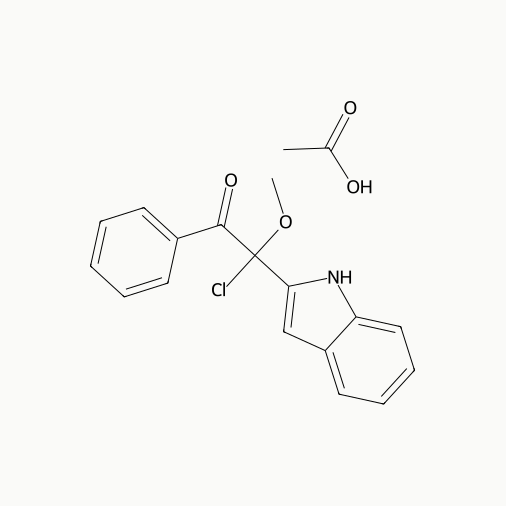 CC(=O)O.COC(Cl)(C(=O)c1ccccc1)c1cc2ccccc2[nH]1